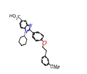 COc1cccc(CCOc2ccc(-c3nc4cc(C(=O)O)ccc4n3C3CCCCC3)cc2)c1